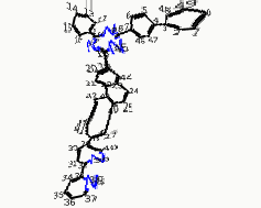 c1ccc(-c2ccc(-c3nc(-c4ccccc4)nc(-c4ccc5c(ccc6cc(-c7ccc(-c8ccccn8)nc7)ccc65)c4)n3)cc2)cc1